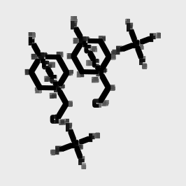 F[B-](F)(F)F.F[B-](F)(F)F.F[N+]12CC[N+](CCl)(CC1)CC2.F[N+]12CC[N+](CCl)(CC1)CC2